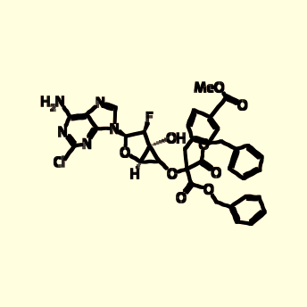 COC(=O)c1ccc(CC(OC2[C@H]3O[C@@H](n4cnc5c(N)nc(Cl)nc54)[C@@H](F)[C@@]23O)(C(=O)OCc2ccccc2)C(=O)OCc2ccccc2)cc1